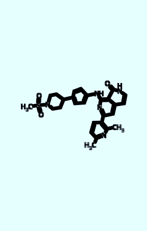 Cc1ccc(-c2cc3cc[nH]c(=O)c3c(Nc3ccc(C4CCN(S(C)(=O)=O)CC4)cc3)n2)c(C)n1